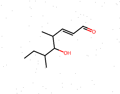 CCC(C)C(O)C(C)/C=C/C=O